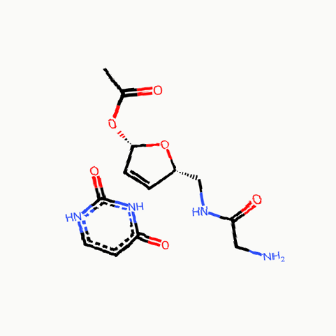 CC(=O)O[C@H]1C=C[C@@H](CNC(=O)CN)O1.O=c1cc[nH]c(=O)[nH]1